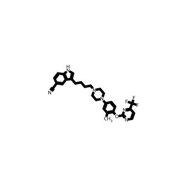 Cc1cc(N2CCN(CCCCc3c[nH]c4ccc(C#N)cc34)CC2)ccc1Oc1nccc(C(F)(F)F)n1